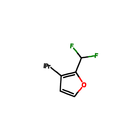 CC(C)c1ccoc1C(F)F